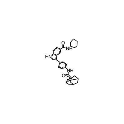 O=C(NC1CCCCC1)c1ccc2[nH]cc(-c3ccc(NC(=O)C45CC6CC(C4)C(=O)C(C6)C5)cc3)c2c1